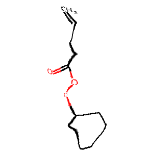 C=CCCC(=O)OOC1CCCCC1